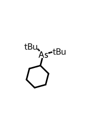 CC(C)(C)[As](C1CCCCC1)C(C)(C)C